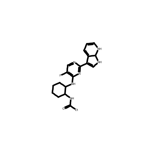 CCC(=O)NC1CCCCC1Nc1nc(C2=CNC3NC=CC=C23)ncc1F